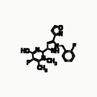 CC1=C(F)C(O)=NC(C2C=C(c3ccon3)N(Cc3ccccc3F)N2)N1C